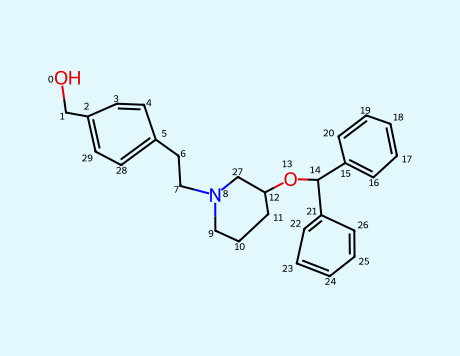 OCc1ccc(CCN2CCCC(OC(c3ccccc3)c3ccccc3)C2)cc1